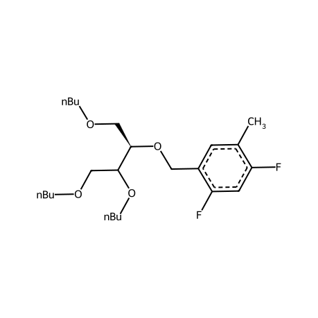 CCCCOCC(OCCCC)[C@@H](COCCCC)OCc1cc(C)c(F)cc1F